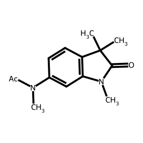 CC(=O)N(C)c1ccc2c(c1)N(C)C(=O)C2(C)C